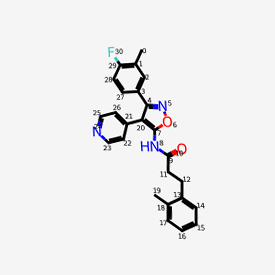 Cc1cc(-c2noc(NC(=O)CCc3ccccc3C)c2-c2ccncc2)ccc1F